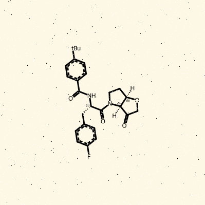 CC(C)(C)c1ccc(C(=O)N[C@@H](Cc2ccc(F)cc2)C(=O)N2CC[C@H]3OCC(=O)[C@H]32)cc1